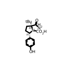 CC(C)(C)[C@@]1(C(N)=O)CC[C@@H](c2ccc(O)cc2)N1C(=O)O